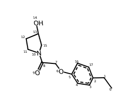 CCc1ccc(OCC(=O)N2CCC(O)C2)cc1